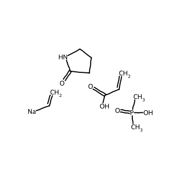 C=CC(=O)O.C=[CH][Na].CP(C)(=O)O.O=C1CCCN1